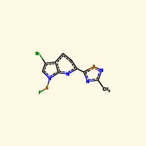 Cc1nsc(-c2ccc3c(Br)cn(SF)c3n2)n1